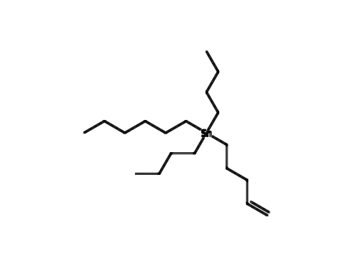 C=CCC[CH2][Sn]([CH2]CCC)([CH2]CCC)[CH2]CCCCC